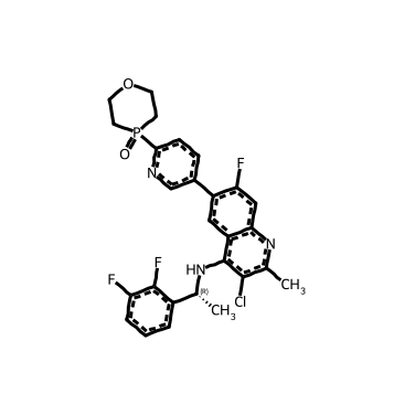 Cc1nc2cc(F)c(-c3ccc(P4(=O)CCOCC4)nc3)cc2c(N[C@H](C)c2cccc(F)c2F)c1Cl